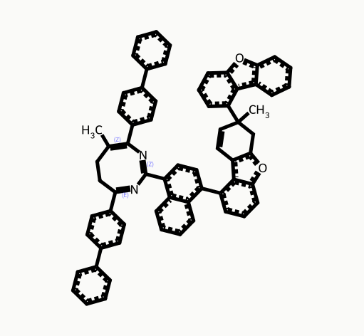 C/C1=C(c2ccc(-c3ccccc3)cc2)/N=C(c2ccc(-c3cccc4oc5c(c34)C=CC(C)(c3cccc4oc6ccccc6c34)C5)c3ccccc23)\N=C(\c2ccc(-c3ccccc3)cc2)CC1